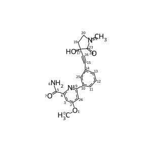 COc1cc(C(N)=O)nc(-c2cccc(C#CC3(O)CCN(C)C3=O)c2)c1